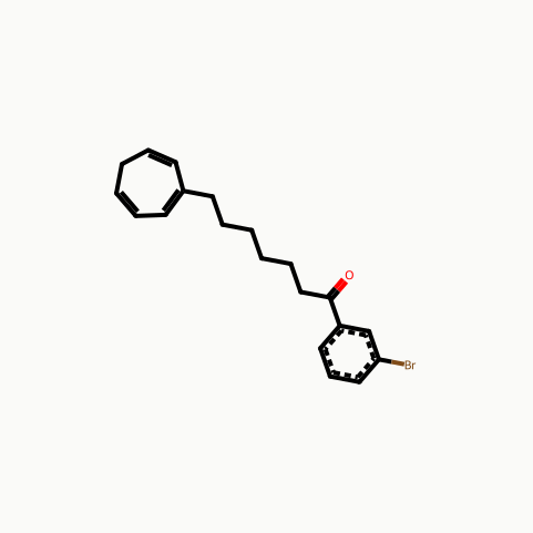 O=C(CCCCCCC1=CC=CCC=C1)c1cccc(Br)c1